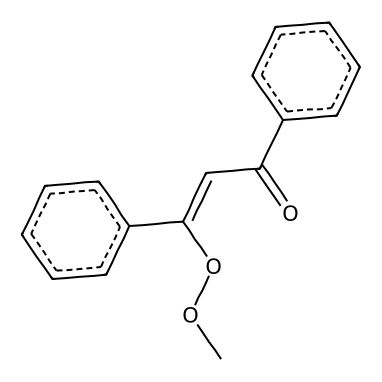 COO/C(=C\C(=O)c1ccccc1)c1ccccc1